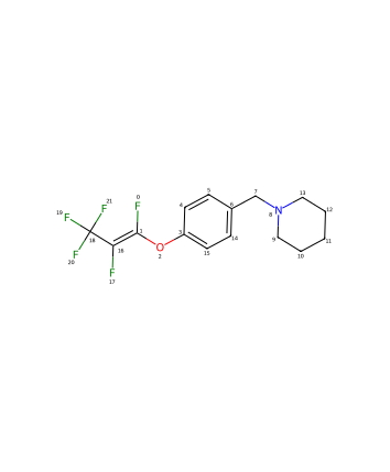 FC(Oc1ccc(CN2CCCCC2)cc1)=C(F)C(F)(F)F